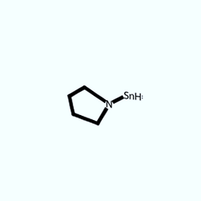 [SnH][N]1CCCC1